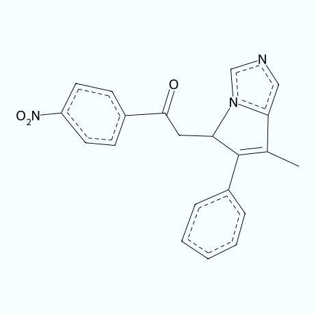 CC1=C(c2ccccc2)C(CC(=O)c2ccc([N+](=O)[O-])cc2)n2cncc21